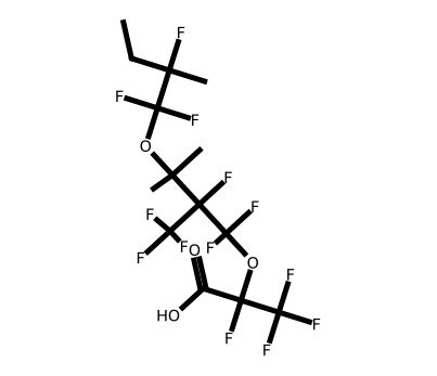 CCC(C)(F)C(F)(F)OC(C)(C)C(F)(C(F)(F)F)C(F)(F)OC(F)(C(=O)O)C(F)(F)F